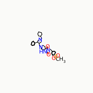 CS(=O)(=O)c1ccc(CN2C(=O)NC3(CCN(CC4CN(CC5CCCCC5)CC4c4ccccc4)CC3)C2=O)cc1